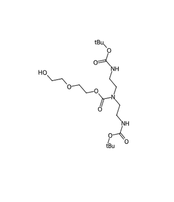 CC(C)(C)OC(=O)NCCN(CCNC(=O)OC(C)(C)C)C(=O)OCCOCCO